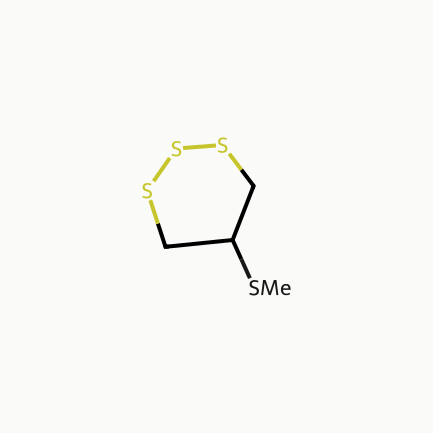 CSC1CSSSC1